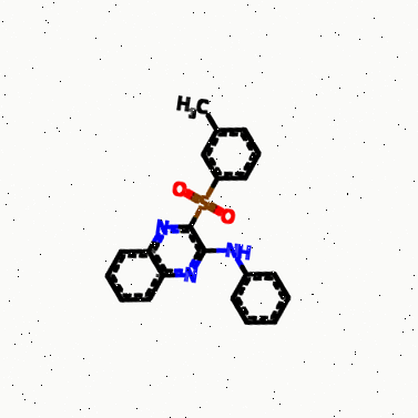 Cc1cccc(S(=O)(=O)c2nc3ccccc3nc2Nc2ccccc2)c1